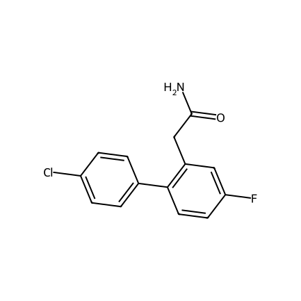 NC(=O)Cc1cc(F)ccc1-c1ccc(Cl)cc1